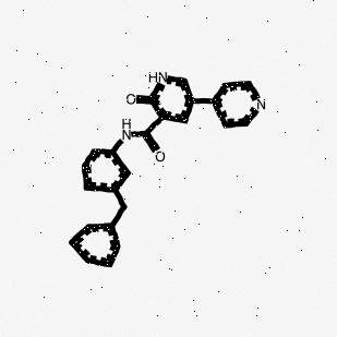 O=C(Nc1cccc(Cc2ccccc2)c1)c1cc(-c2ccncc2)c[nH]c1=O